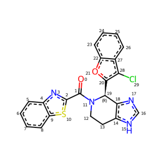 O=C(c1nc2ccccc2s1)N1CCc2[nH]cnc2[C@@H]1c1oc2ccccc2c1Cl